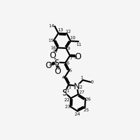 CCN1C(=CC=C2C(=O)c3c(C)cc(C)cc3OS2(=O)=O)Sc2ccccc21